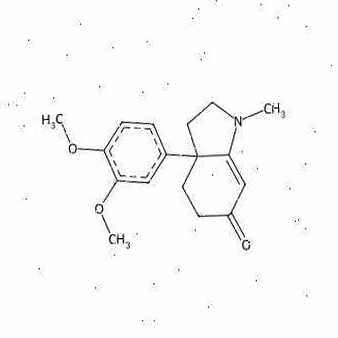 COc1ccc(C23CCC(=O)C=C2N(C)CC3)cc1OC